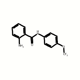 Nc1ccccc1C(=O)Nc1ccc(OC(F)(F)F)cc1